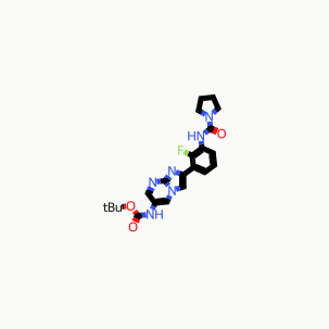 CC(C)(C)OC(=O)Nc1cnc2nc(-c3cccc(NC(=O)N4CCCC4)c3F)cn2c1